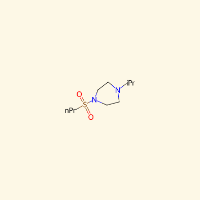 [CH2]CCS(=O)(=O)N1CCN(C(C)C)CC1